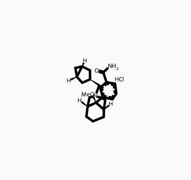 CO[C@]1(c2cccc(C(N)=O)c2)[C@@H]2CCC[C@H]1CN(C[C@H]1C[C@@H]3C[C@@H]3C1)C2.Cl